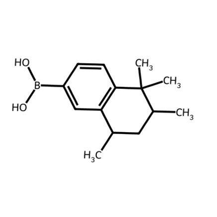 CC1CC(C)C(C)(C)c2ccc(B(O)O)cc21